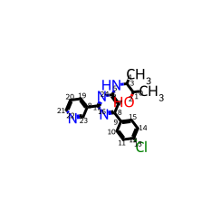 CC(O)C(C)Nc1cc(-c2ccc(Cl)cc2)nc(-c2cccnc2)n1